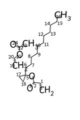 C=CC(=O)OC1(CCCCCCCCCCC)CC1.C=COC(C)=O